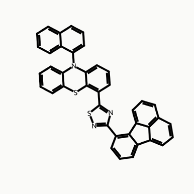 c1ccc2c(c1)Sc1c(-c3nc(-c4cccc5c4-c4cccc6cccc-5c46)ns3)cccc1N2c1cccc2ccccc12